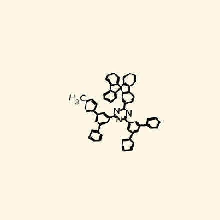 CC1C=CC(c2cc(-c3ccccc3)cc(-c3nc(-c4cc(-c5ccccc5)cc(-c5ccccc5)c4)nc(-c4ccc5c(c4)C4(C6=C5C=CCC6)c5ccccc5-c5ccccc54)n3)c2)=CC1